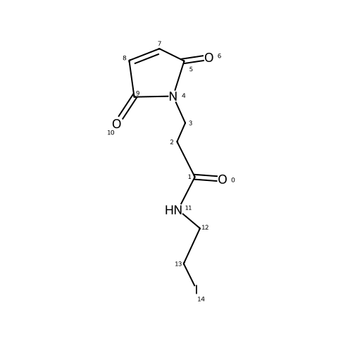 O=C(CCN1C(=O)C=CC1=O)NCCI